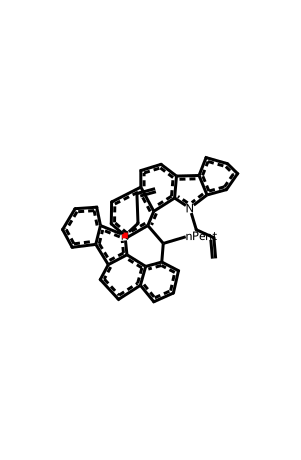 C=CCn1c2ccccc2c2ccc3cccc(C(CCCCC)c4cccc5ccc6c7ccccc7n(CC=C)c6c45)c3c21